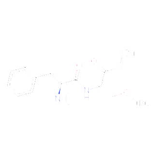 CC(C)(C)OC[C@H](NC(=O)[C@@H](N)Cc1ccccc1)C(=O)OC(C)(C)C